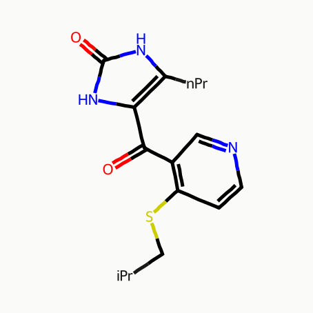 CCCc1[nH]c(=O)[nH]c1C(=O)c1cnccc1SCC(C)C